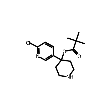 CC(C)(C)C(=O)OC1(c2ccc(Cl)nc2)CCNCC1